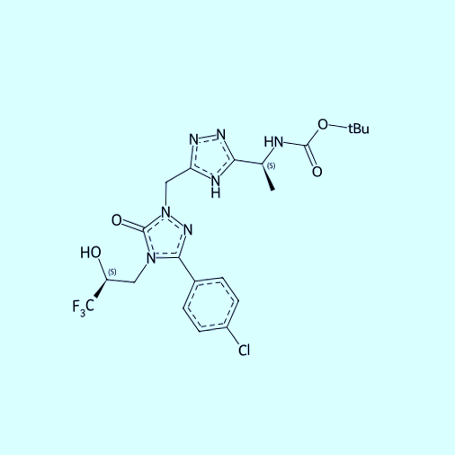 C[C@H](NC(=O)OC(C)(C)C)c1nnc(Cn2nc(-c3ccc(Cl)cc3)n(C[C@H](O)C(F)(F)F)c2=O)[nH]1